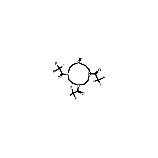 C=[N+]1CCN(C(=O)C(F)(F)F)CCN(C(=O)C(F)(F)F)CCN(C(=O)C(F)(F)F)CC1